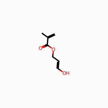 C=C(C)C(=O)OC/C=C/O